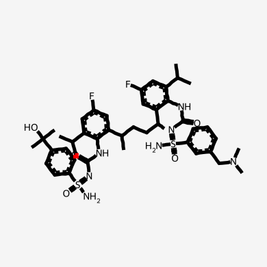 CC(C)c1cc(F)cc(C(C)CCC(C)c2cc(F)cc(C(C)C)c2NC(=O)N=S(N)(=O)c2cccc(CN(C)C)c2)c1NC(=O)N=S(N)(=O)c1ccc(C(C)(C)O)cc1